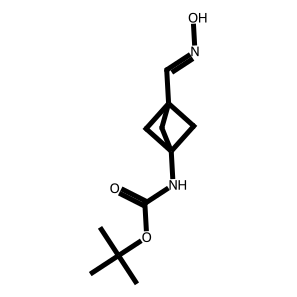 CC(C)(C)OC(=O)NC12CC(C=NO)(C1)C2